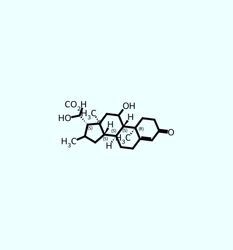 CC1C[C@H]2[C@@H]3CCC4=CC(=O)CC[C@]4(C)[C@H]3C(O)C[C@]2(C)[C@H]1C(O)C(=O)O